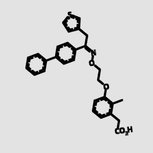 Cc1c(CC(=O)O)cccc1OCCON=C(Cc1ccsc1)c1ccc(-c2ccccc2)cc1